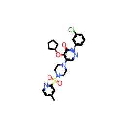 Cc1ccnc(S(=O)(=O)N2CCN(c3cnn(-c4cccc(Cl)c4)c(=O)c3OC3CCCC3)CC2)c1